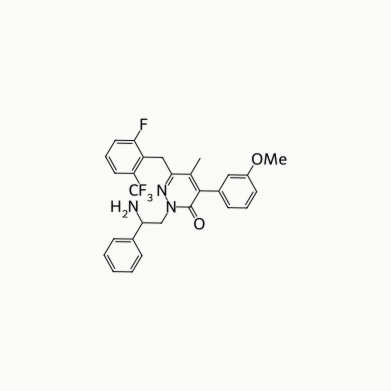 COc1cccc(-c2c(C)c(Cc3c(F)cccc3C(F)(F)F)nn(CC(N)c3ccccc3)c2=O)c1